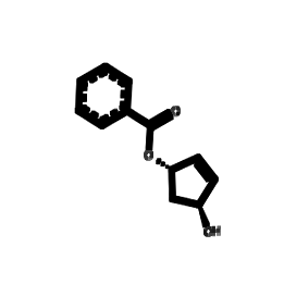 O=C(O[C@@H]1C=C[C@@H](O)C1)c1ccccc1